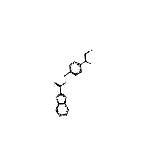 CC(C)CC(C)c1ccc(OCC(=O)c2nc3ccccc3s2)cc1